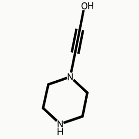 OC#CN1CCNCC1